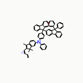 C=C/C=C\C1=C(C)c2ccc(N(c3ccccc3)c3ccc(C4(c5ccc6c(c5)C(c5ccccc5)(c5ccccc5)c5ccccc5-6)c5ccccc5-c5ccccc54)cc3)cc2C1(C)C